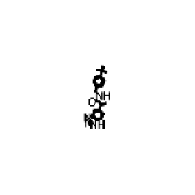 CC(C(=O)NCc1ccc(C(C)(C)C)cc1)c1ccc2[nH]nnc2c1